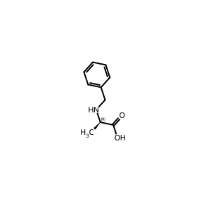 C[C@@H](NCc1ccccc1)C(=O)O